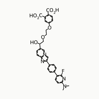 CN(C)c1ccc(-c2ccc(-c3cn4cc(C(O)COCCOc5ccc(C(=O)O)c(C(=O)O)c5)ccc4n3)cc2)c(F)n1